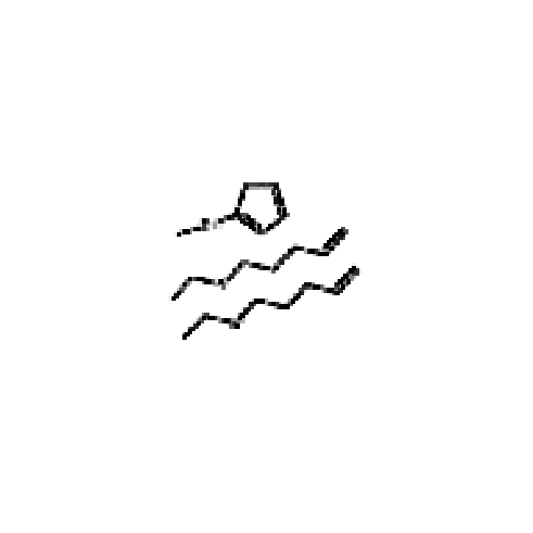 C=CCCC[N-]CC.C=CCCC[N-]CC.[CH3][Zr+2][C]1=CC=CC1